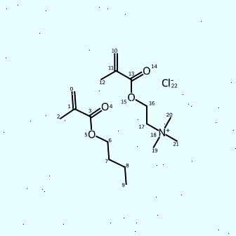 C=C(C)C(=O)OCCCC.C=C(C)C(=O)OCC[N+](C)(C)C.[Cl-]